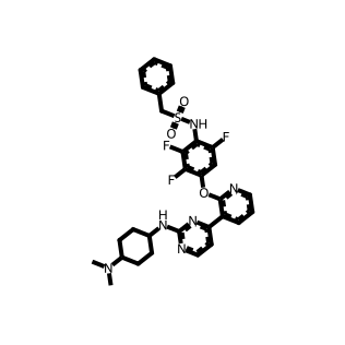 CN(C)C1CCC(Nc2nccc(-c3cccnc3Oc3cc(F)c(NS(=O)(=O)Cc4ccccc4)c(F)c3F)n2)CC1